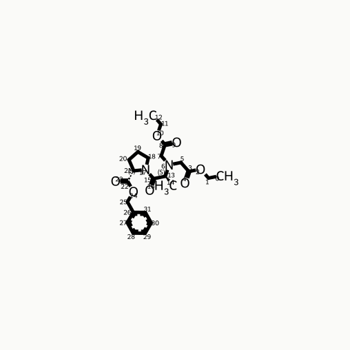 CCOC(=O)CN(CC(=O)OCC)[C@@H](C)C(=O)N1CCC[C@H]1C(=O)OCc1ccccc1